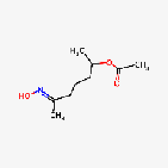 CC(=O)OC(C)CCCC(C)=NO